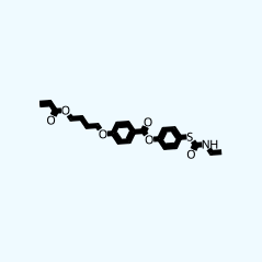 C=CC(=O)OCCCCOc1ccc(C(=O)Oc2ccc(SC(=O)NCC)cc2)cc1